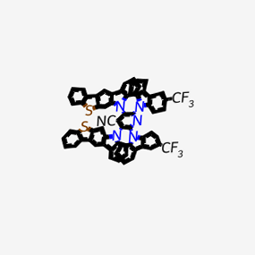 N#Cc1c(-n2c3ccccc3c3cc4c(cc32)sc2ccccc24)c(-n2c3ccccc3c3cc(C(F)(F)F)ccc32)nc(-n2c3ccccc3c3cc(C(F)(F)F)ccc32)c1-n1c2ccccc2c2cc3c(cc21)sc1ccccc13